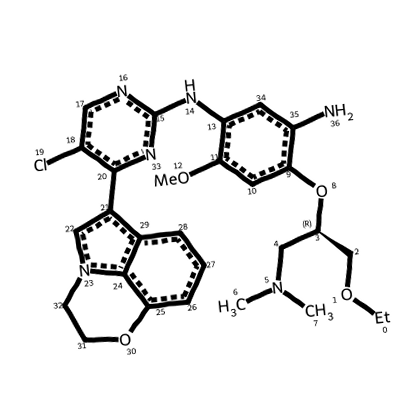 CCOC[C@@H](CN(C)C)Oc1cc(OC)c(Nc2ncc(Cl)c(-c3cn4c5c(cccc35)OCC4)n2)cc1N